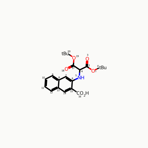 CC(C)(C)OC(=O)C(Nc1cc2ccccc2cc1C(=O)O)C(=O)OC(C)(C)C